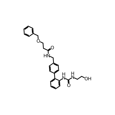 O=C(CCOCc1ccccc1)NCc1ccc(-c2ccccc2NC(=O)NCCO)cc1